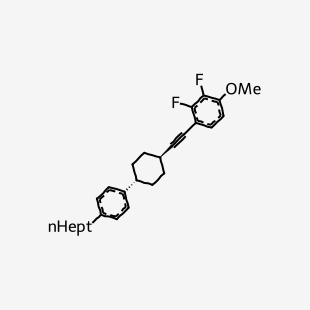 CCCCCCCc1ccc([C@H]2CC[C@H](C#Cc3ccc(OC)c(F)c3F)CC2)cc1